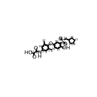 Cc1cc(NC(=O)C(=O)O)cc(C)c1Oc1ccc(O)c(S(=O)(=O)CC2CCCC2)c1